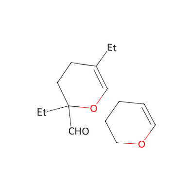 C1=COCCC1.CCC1=COC(C=O)(CC)CC1